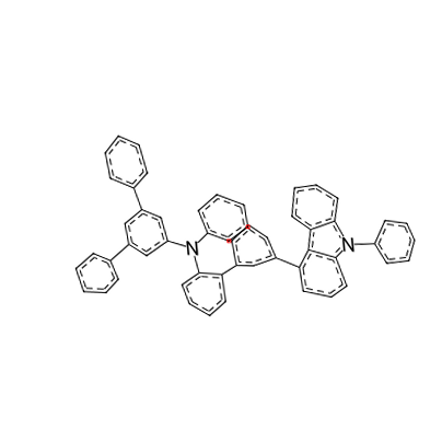 c1ccc(-c2cc(-c3ccccc3)cc(N(c3ccccc3)c3ccccc3-c3cccc(-c4cccc5c4c4ccccc4n5-c4ccccc4)c3)c2)cc1